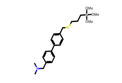 CO[Si](CCCSCc1ccc(-c2ccc(CN(C)C)cc2)cc1)(OC)OC